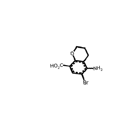 Nc1c(Br)cc(C(=O)O)c2c1CCCO2